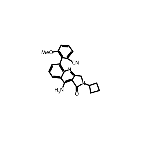 COc1cccc(C#N)c1-c1cccc2c(N)c3c(nc12)CN(C1CCC1)C3=O